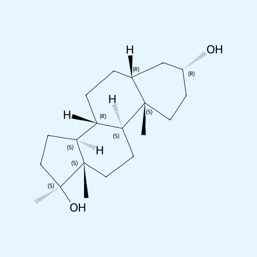 C[C@]12CC[C@@H](O)C[C@H]1CC[C@@H]1[C@@H]2CC[C@@]2(C)[C@H]1CC[C@]2(C)O